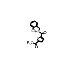 O=C(NCc1ccccc1Cl)c1ccc(C(=O)C(F)(F)F)s1